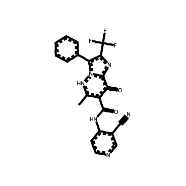 Cc1[nH]n2c(-c3ccccc3)c(C(F)(F)F)nc2c(=O)c1C(=O)Nc1ccncc1C#N